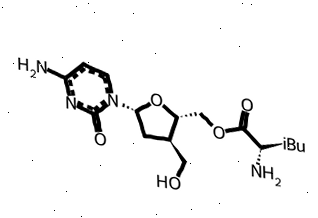 CC[C@H](C)[C@H](N)C(=O)OC[C@H]1O[C@@H](n2ccc(N)nc2=O)C[C@@H]1CO